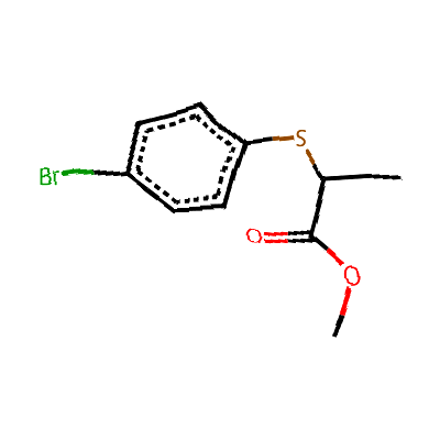 COC(=O)C(C)Sc1ccc(Br)cc1